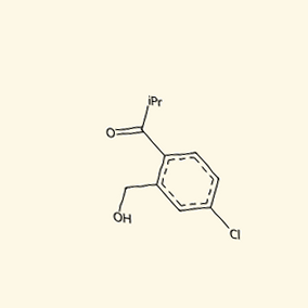 CC(C)C(=O)c1ccc(Cl)cc1CO